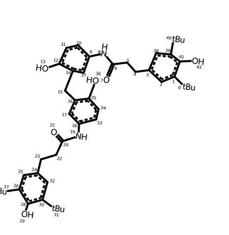 CC(C)(C)c1cc(CCC(=O)Nc2ccc(O)c(Cc3cc(NC(=O)CCc4cc(C(C)(C)C)c(O)c(C(C)(C)C)c4)ccc3O)c2)cc(C(C)(C)C)c1O